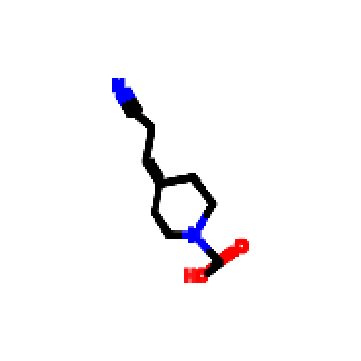 N#CCC=C1CCN(C(=O)O)CC1